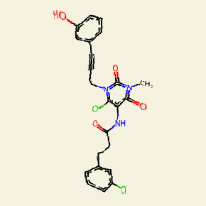 Cn1c(=O)c(NC(=O)CCc2cccc(Cl)c2)c(Cl)n(CC#Cc2cccc(O)c2)c1=O